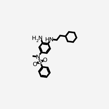 CN(c1ccc(NCCC2CCCCC2)c(N)c1)S(=O)(=O)c1ccccc1